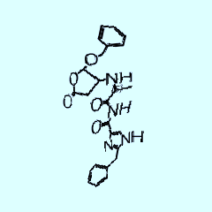 C[C@H](NC1CC(=O)OC1OCc1ccccc1)C(=O)NC(=O)c1c[nH]c(Cc2ccccc2)n1